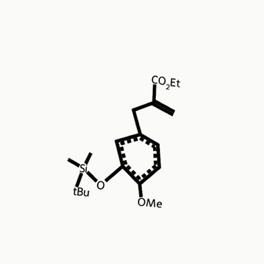 C=C(Cc1ccc(OC)c(O[Si](C)(C)C(C)(C)C)c1)C(=O)OCC